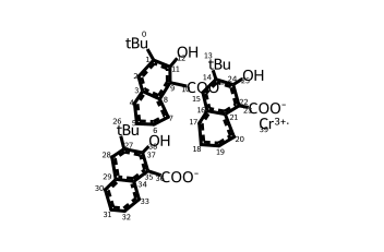 CC(C)(C)c1cc2ccccc2c(C(=O)[O-])c1O.CC(C)(C)c1cc2ccccc2c(C(=O)[O-])c1O.CC(C)(C)c1cc2ccccc2c(C(=O)[O-])c1O.[Cr+3]